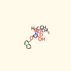 CC(C)(C)OC(=O)N1C[C@H](OCc2cccc3ccccc23)C[C@H]1C(=O)O